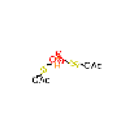 CC(=O)OCCSSCCO[PH](=O)OCCSSCCOC(C)=O